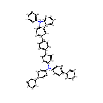 C1=CCC(c2ccc(N(c3ccc(-c4ccccc4)cc3)c3ccc(-c4ccc(-c5ccc6c(c5)c5ccccc5n6-c5ccccc5)cc4)cc3)cc2)C=C1